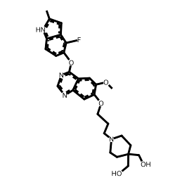 COc1cc2c(Oc3ccc4[nH]c(C)cc4c3F)ncnc2cc1OCCCN1CCC(CO)(CO)CC1